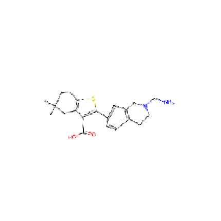 CC1(C)CCc2sc(-c3ccc4c(c3)CN(CN)CC4)c(C(=O)O)c2C1